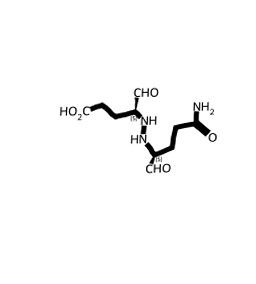 NC(=O)CC[C@@H](C=O)NN[C@H](C=O)CCC(=O)O